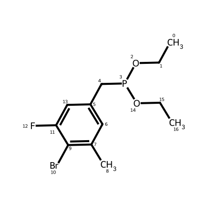 CCOP(Cc1cc(C)c(Br)c(F)c1)OCC